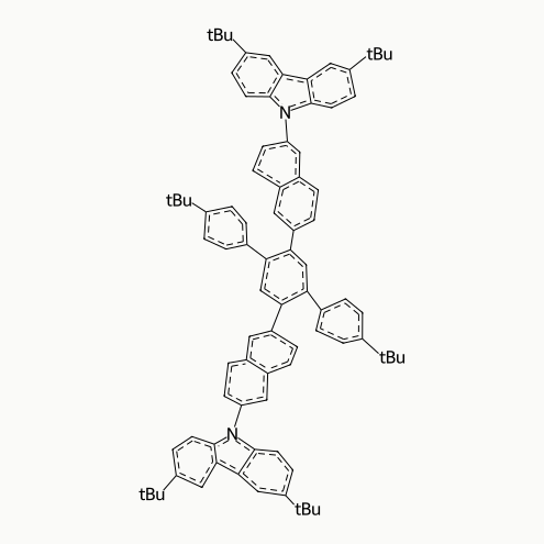 CC(C)(C)c1ccc(-c2cc(-c3ccc4cc(-n5c6ccc(C(C)(C)C)cc6c6cc(C(C)(C)C)ccc65)ccc4c3)c(-c3ccc(C(C)(C)C)cc3)cc2-c2ccc3cc(-n4c5ccc(C(C)(C)C)cc5c5cc(C(C)(C)C)ccc54)ccc3c2)cc1